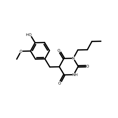 CCCCN1C(=O)NC(=O)C(Cc2ccc(O)c(OC)c2)C1=O